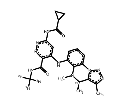 [2H]C([2H])([2H])NC(=O)c1nnc(NC(=O)C2CC2)cc1Nc1cccc2c1N(C)[C@H](C)c1c(C)nnn1-2